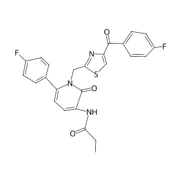 CCC(=O)Nc1ccc(-c2ccc(F)cc2)n(Cc2nc(C(=O)c3ccc(F)cc3)cs2)c1=O